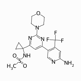 CS(=O)(=O)NC1(c2cc(-c3cnc(N)cc3C(F)(F)F)nc(N3CCOCC3)n2)CC1